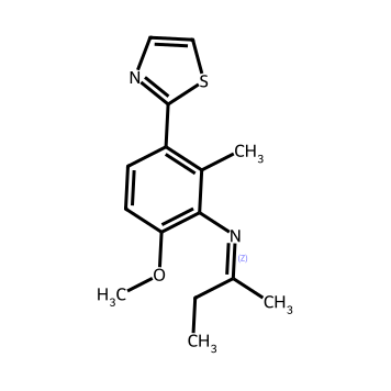 CC/C(C)=N\c1c(OC)ccc(-c2nccs2)c1C